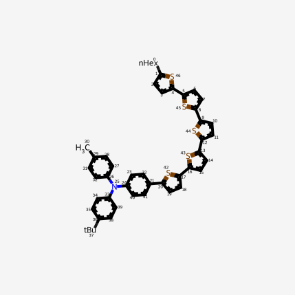 CCCCCCc1ccc(-c2ccc(-c3ccc(-c4ccc(-c5ccc(-c6ccc(N(c7ccc(C)cc7)c7ccc(C(C)(C)C)cc7)cc6)s5)s4)s3)s2)s1